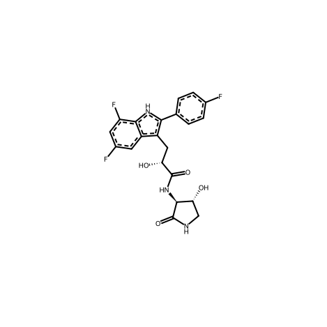 O=C(N[C@@H]1C(=O)NC[C@H]1O)[C@H](O)Cc1c(-c2ccc(F)cc2)[nH]c2c(F)cc(F)cc12